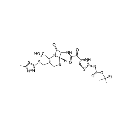 CCC(C)(C)OC(=O)N=c1[nH]c(C(=O)C(=O)NC2C(=O)N3C(C(=O)O)=C(CSc4nnc(C)s4)CS[C@@H]23)cs1